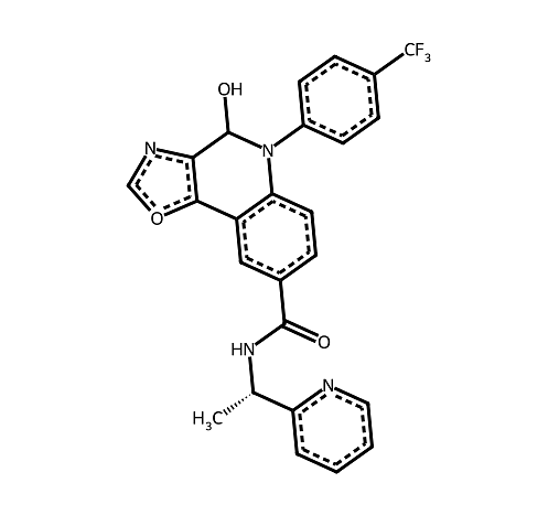 C[C@H](NC(=O)c1ccc2c(c1)-c1ocnc1C(O)N2c1ccc(C(F)(F)F)cc1)c1ccccn1